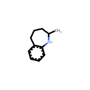 CC1CCCc2ccccc2N1